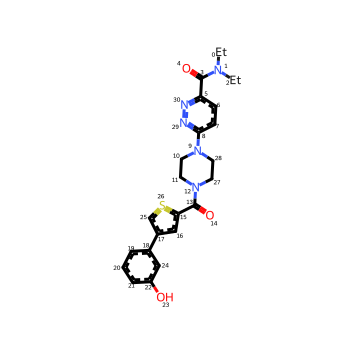 CCN(CC)C(=O)c1ccc(N2CCN(C(=O)c3cc(-c4cccc(O)c4)cs3)CC2)nn1